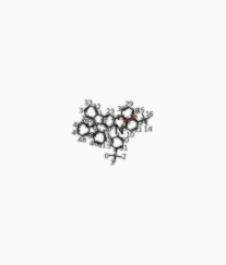 CC(C)(C)c1ccc(N(c2ccc(C(C)(C)C)cc2)c2cc3c(cc2-c2ccccc2)-c2ccccc2C3(c2ccccc2)c2ccccc2)cc1